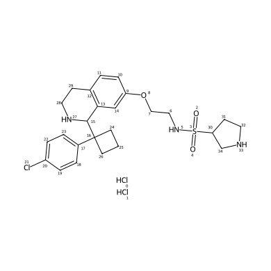 Cl.Cl.O=S(=O)(NCCOc1ccc2c(c1)C(C1(c3ccc(Cl)cc3)CCC1)NCC2)C1CCNC1